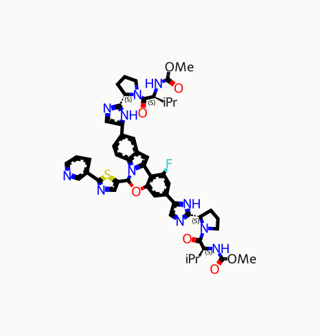 COC(=O)N[C@H](C(=O)N1CCC[C@H]1c1ncc(-c2cc(F)c3c(c2)OC(c2cnc(-c4cccnc4)s2)n2c-3cc3cc(-c4cnc([C@@H]5CCCN5C(=O)[C@@H](NC(=O)OC)C(C)C)[nH]4)ccc32)[nH]1)C(C)C